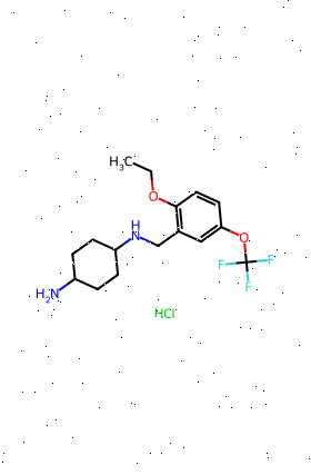 CCOc1ccc(OC(F)(F)F)cc1CNC1CCC(N)CC1.Cl